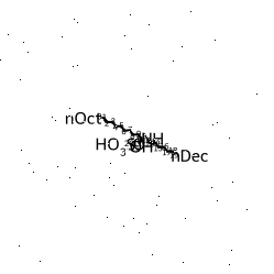 CCCCCCCCC=CCCCCCCCC(=O)NCCCCCCCCCCCCCCCC.O=S(=O)(O)O